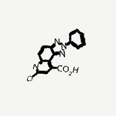 O=C(O)c1cc(Cl)nc2ccc3nn(-c4ccccc4)nc3c12